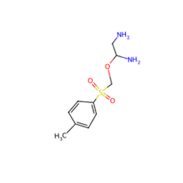 Cc1ccc(S(=O)(=O)COC(N)CN)cc1